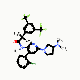 CN(C(=O)C(C)(C)c1cc(C(F)(F)F)cc(C(F)(F)F)c1)c1cnc(N2CCC(N(C)C)C2)cc1-c1ccccc1Cl